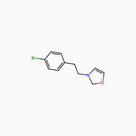 Brc1ccc(CCN2C=COC2)cc1